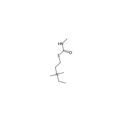 CC[N+](C)(C)CCSC(=O)NC